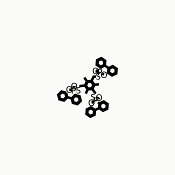 Cc1c(CSP2(=O)Oc3ccccc3-c3ccccc32)c(C)c(CSP2(=O)Oc3ccccc3-c3ccccc32)c(C)c1CSP1(=O)Oc2ccccc2-c2ccccc21